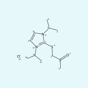 CC(=O)CSc1n(C(C)C)cc[n+]1C(C)C.[Cl-]